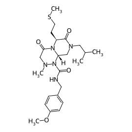 COc1ccc(CNC(=O)N2[C@H]3CN(CC(C)C)C(=O)[C@H](CCSC)N3C(=O)CN2C)cc1